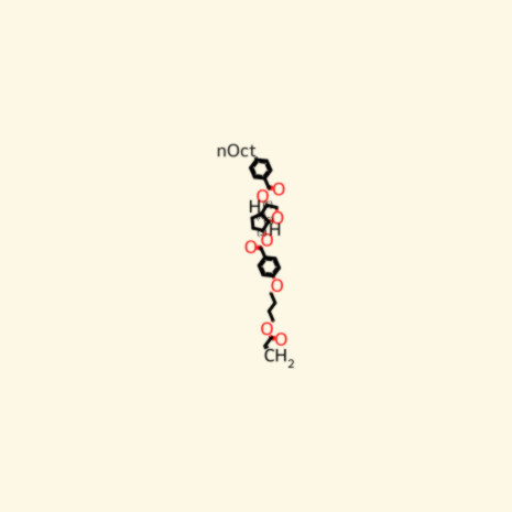 C=CC(=O)OCCCCOc1ccc(C(=O)O[C@H]2CC[C@H]3[C@@H]2OC[C@H]3OC(=O)c2ccc(CCCCCCCC)cc2)cc1